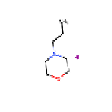 CCCN1CCOCC1.I